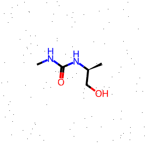 CNC(=O)N[C@@H](C)CO